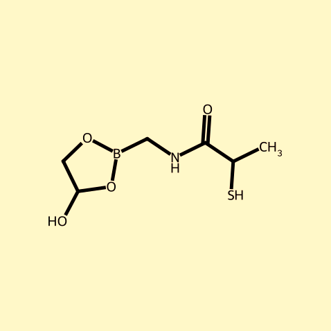 CC(S)C(=O)NCB1OCC(O)O1